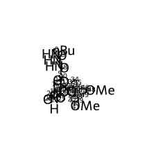 CCCCNC(=O)NCNC(=O)CCC(=O)O[C@@H]1C(F)[C@H](n2ccc(=O)[nH]c2=O)O[C@@H]1COC(c1ccccc1)(c1ccc(OC)cc1)c1ccc(OC)cc1